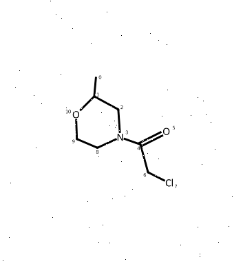 CC1CN(C(=O)CCl)CCO1